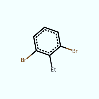 [CH2]Cc1c(Br)cccc1Br